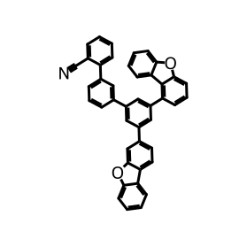 N#Cc1ccccc1-c1cccc(-c2cc(-c3ccc4c(c3)oc3ccccc34)cc(-c3cccc4oc5ccccc5c34)c2)c1